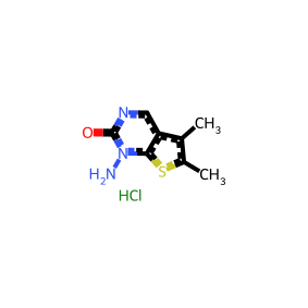 Cc1sc2c(cnc(=O)n2N)c1C.Cl